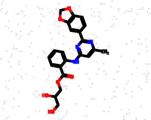 Cc1cc(Nc2ccccc2C(=O)OCC(O)CO)nc(-c2ccc3c(c2)OCO3)n1